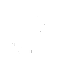 O=C1CCCCN1c1ccc(C#CC2(O)CN3CCC2CC3)c(Cc2ccccc2)n1